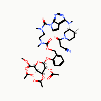 COC(=O)[C@H]1O[C@@H](Oc2ccccc2COC(=O)N(C)CCN(C)C(=O)n2ccc3c(N(C)[C@H]4CN(C(=O)CC#N)CC[C@H]4C)ncnc32)[C@H](OC(C)=O)[C@@H](OC(C)=O)[C@@H]1OC(C)=O